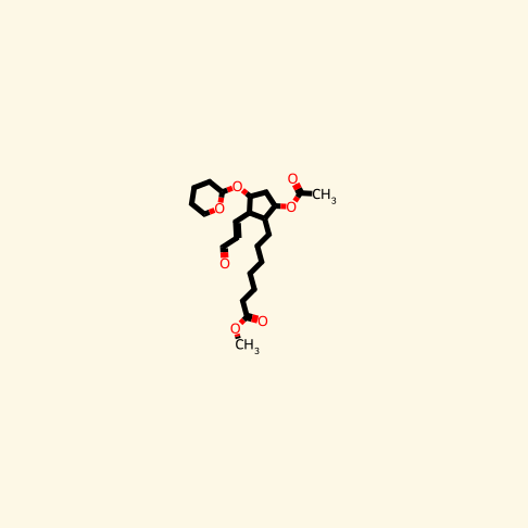 COC(=O)CCCCCCC1C(OC(C)=O)CC(OC2CCCCO2)C1C=CC=O